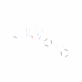 C=CCONC(=O)[C@H]1[C@H](C)O[C@@H](C)CN1Sc1ccc(OCc2ccccc2C)cc1